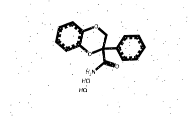 Cl.Cl.NC(=O)C1(c2ccccc2)COc2ccccc2O1